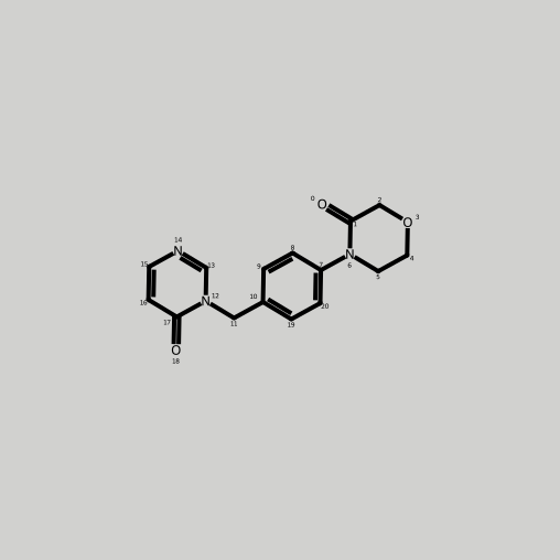 O=C1COCCN1c1ccc(Cn2cnccc2=O)cc1